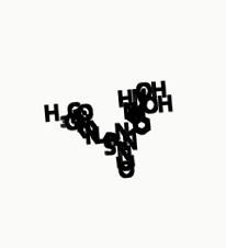 CS(=O)(=O)N1CCN(Cc2cc3nc(-c4cccc5c4cnn5C(O)NO)nc(N4CCOCC4)c3s2)CC1